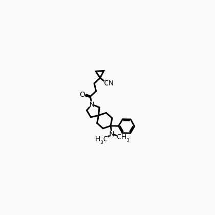 CN(C)C1(c2ccccc2)CCC2(CCN(C(=O)CCC3(C#N)CC3)C2)CC1